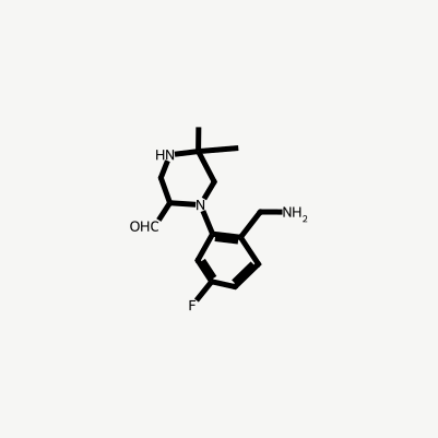 CC1(C)CN(c2cc(F)ccc2CN)C(C=O)CN1